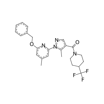 Cc1cc(OCc2ccccc2)nc(-n2ncc(C(=O)N3CCC(C(F)(F)F)CC3)c2C)c1